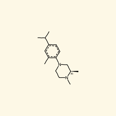 Cc1cc(C(C)C)ccc1N1CCN(C)[C@H](C)C1